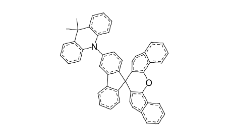 CC1(C)c2ccccc2N(c2ccc3c(c2)-c2ccccc2C32c3ccc4ccccc4c3Oc3c2ccc2ccccc32)c2ccccc21